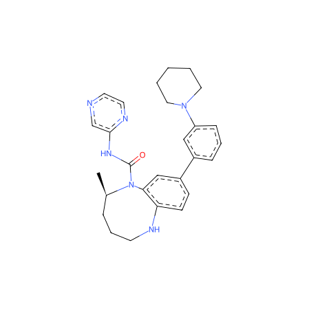 C[C@@H]1CCCNc2ccc(-c3cccc(N4CCCCC4)c3)cc2N1C(=O)Nc1cnccn1